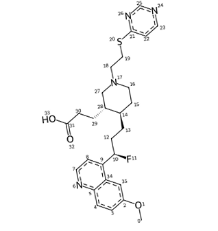 COc1ccc2nccc([C@H](F)CC[C@@H]3CCN(CCSc4ccncn4)C[C@H]3CCC(=O)O)c2c1